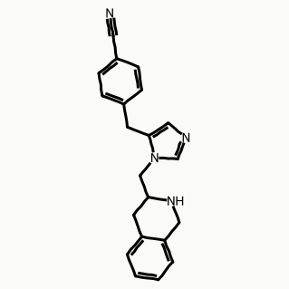 N#Cc1ccc(Cc2cncn2CC2Cc3ccccc3CN2)cc1